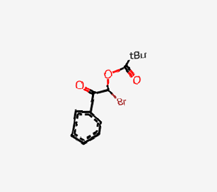 CC(C)(C)C(=O)OC(Br)C(=O)c1ccccc1